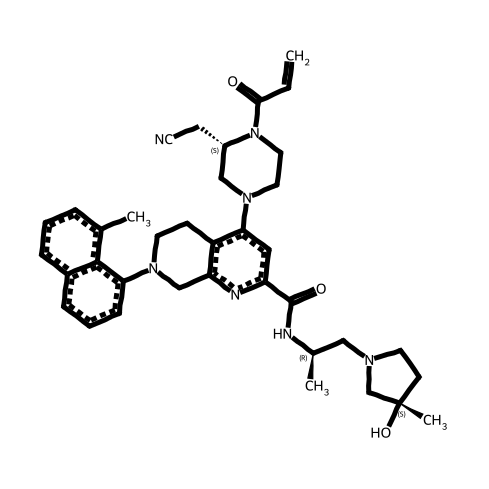 C=CC(=O)N1CCN(c2cc(C(=O)N[C@H](C)CN3CC[C@](C)(O)C3)nc3c2CCN(c2cccc4cccc(C)c24)C3)C[C@@H]1CC#N